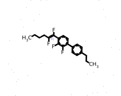 CCCC/C(F)=C(\F)c1ccc(-c2ccc(CCC)cc2)c(F)c1F